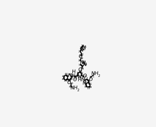 NCCOc1cc(NC(=O)c2cc(OCc3cn(CCOCCn4ccnc4)nn3)cc(C(=O)Nc3cc(OCCN)c4ccccc4n3)n2)nc2ccccc12